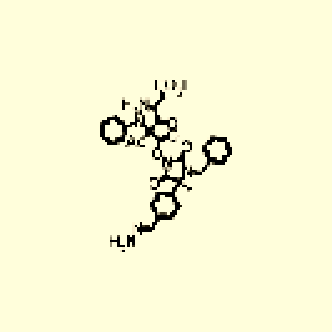 CC(=O)[C@@](C(=O)ON1C(=O)N(Cc2ccccc2)[C@](C)(c2ccc(C=NN)cc2)C1=O)(C(=O)[C@@H](N)CC(=O)O)N(C)c1ccccc1